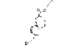 CC(C)COC(=O)N1CCc2cc(CBr)ccc2C1